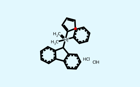 Cl.Cl.[CH2]=[Hf]([CH3])([C]1=CC=CC1)([c]1ccccc1)[CH]1c2ccccc2-c2ccccc21